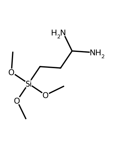 CO[Si](CCC(N)N)(OC)OC